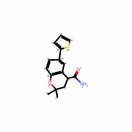 CC1(C)CC(C(N)=O)c2cc(-c3cccs3)ccc2O1